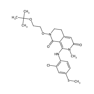 CSc1ccc(Nc2c3c(cc(=O)n2C)CCN(OCCOC(C)(C)C)C3=O)c(Cl)c1